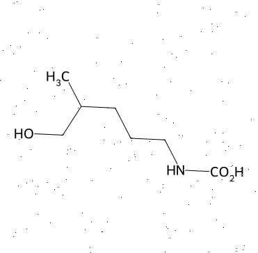 CC(CO)CCCNC(=O)O